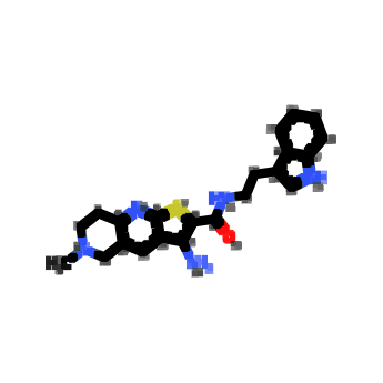 CN1CCc2nc3sc(C(=O)NCCc4c[nH]c5ccccc45)c(N)c3cc2C1